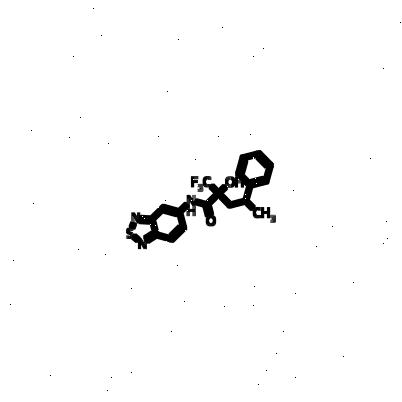 CC(CC(O)(C(=O)Nc1ccc2nsnc2c1)C(F)(F)F)c1ccccc1